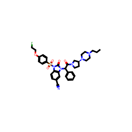 CCCN1CCN([C@H]2CCN(C(=O)C(c3ccccc3)n3c(=O)n(S(=O)(=O)c4ccc(OCCF)cc4)c4ccc(C#N)cc43)C2)CC1